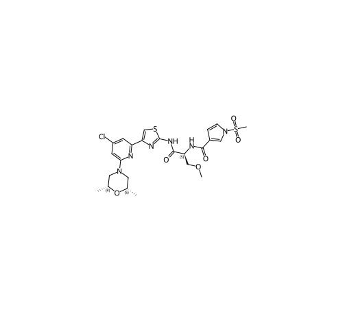 COC[C@H](NC(=O)c1ccn(S(C)(=O)=O)c1)C(=O)Nc1nc(-c2cc(Cl)cc(N3C[C@@H](C)O[C@@H](C)C3)n2)cs1